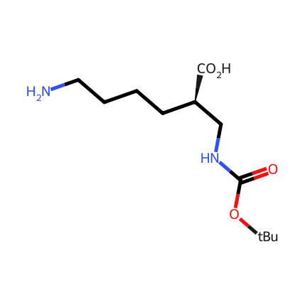 CC(C)(C)OC(=O)NC[C@@H](CCCCN)C(=O)O